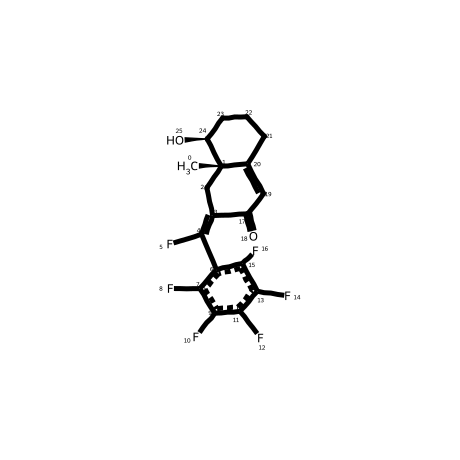 C[C@]12C/C(=C(\F)c3c(F)c(F)c(F)c(F)c3F)C(=O)C=C1CCC[C@@H]2O